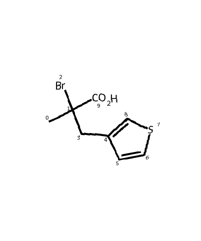 CC(Br)(Cc1ccsc1)C(=O)O